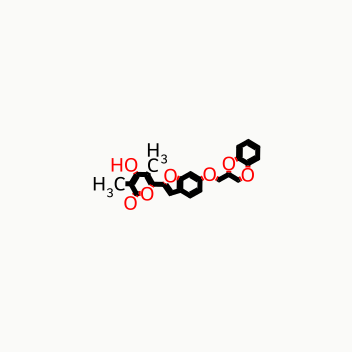 Cc1c(-c2cc3ccc(OCC4COc5ccccc5O4)cc3o2)oc(=O)c(C)c1O